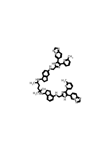 Cc1cccc(-c2nc(CNc3ccc4c(c3)CCC4NC(C)CCC(C)(C)NC3CCc4c(NCc5nc(-c6cccc(C)n6)c(-c6ccc7ncnn7c6)[nH]5)cccc43)[nH]c2-c2ccc3ncnn3c2)n1